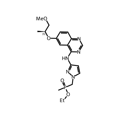 CCOP(C)(=O)Cn1ccc(Nc2ncnc3ccc(O[C@@H](C)COC)cc23)n1